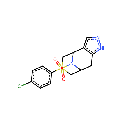 O=S(=O)(c1ccc(Cl)cc1)N1C2CSCC1c1cn[nH]c1C2